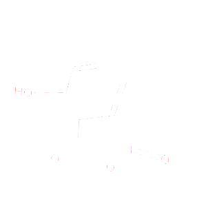 O=C1O[I](=O)c2cccc(O)c21